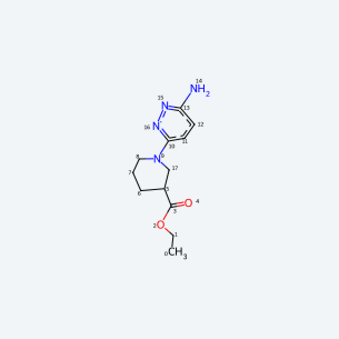 CCOC(=O)C1CCCN(c2ccc(N)nn2)C1